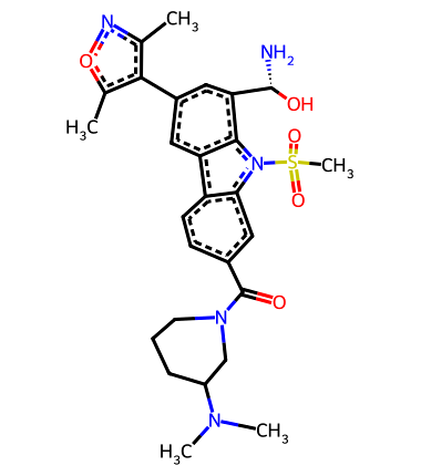 Cc1noc(C)c1-c1cc([C@H](N)O)c2c(c1)c1ccc(C(=O)N3CCCC(N(C)C)C3)cc1n2S(C)(=O)=O